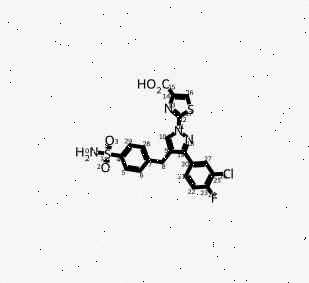 NS(=O)(=O)c1ccc(Cc2cn(-c3nc(C(=O)O)cs3)nc2-c2ccc(F)c(Cl)c2)cc1